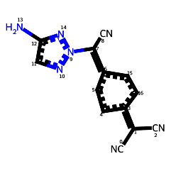 N#CC(C#N)=c1ccc(=C(C#N)n2ncc(N)n2)cc1